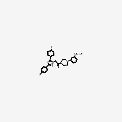 CCOC(=O)c1cccc(N2CCN(C(=O)Cn3nc(-c4ccc(F)cc4)nc3-c3ccc(F)cc3)CC2)c1